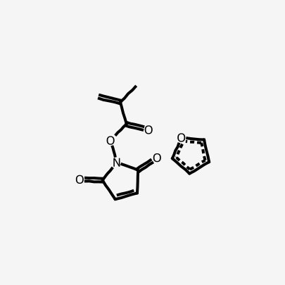 C=C(C)C(=O)ON1C(=O)C=CC1=O.c1ccoc1